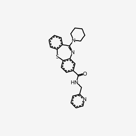 O=C(NCc1ccccn1)c1ccc2c(c1)N=C(N1CCCCC1)c1ccccc1S2